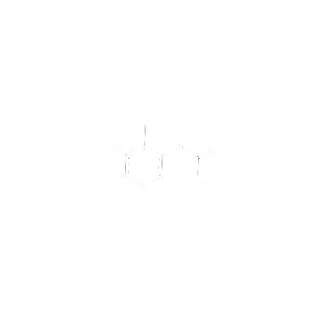 Cc1c(NC(=O)OC(C)(C)C)ncc(F)c1C(=O)O